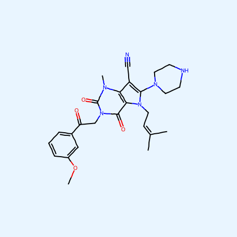 COc1cccc(C(=O)Cn2c(=O)c3c(c(C#N)c(N4CCNCC4)n3CC=C(C)C)n(C)c2=O)c1